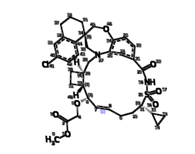 COC(=O)CO[C@H]1/C=C/CC[C@@H](C2CC2)S(=O)(=O)NC(=O)c2ccc3c(c2)N(C[C@@H]2CC[C@H]21)C[C@@]1(CCCc2cc(Cl)ccc21)CO3